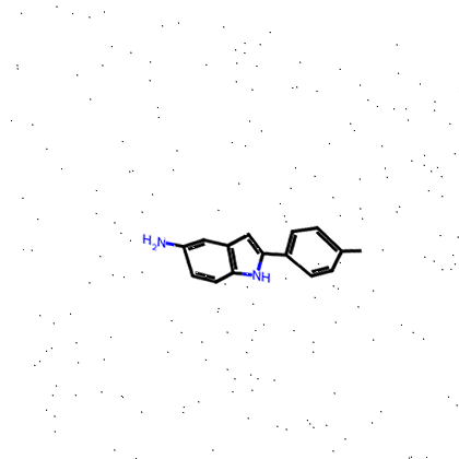 Cc1ccc(-c2cc3cc(N)ccc3[nH]2)cc1